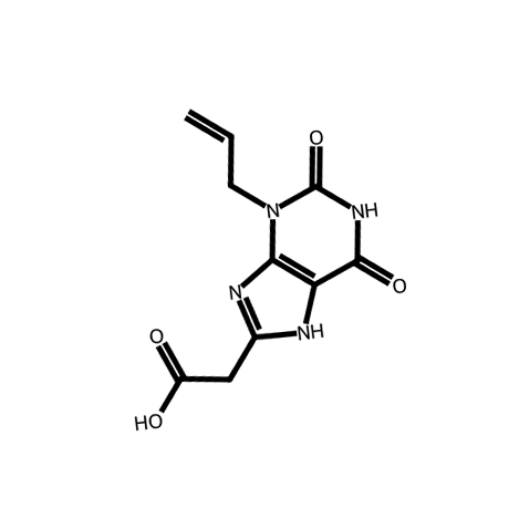 C=CCn1c(=O)[nH]c(=O)c2[nH]c(CC(=O)O)nc21